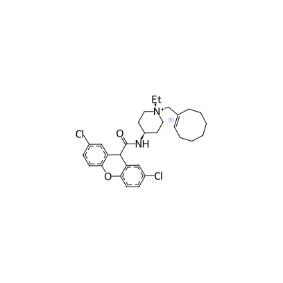 CC[N@+]1(C/C2=C/CCCCCC2)CC[C@H](NC(=O)C2c3cc(Cl)ccc3Oc3ccc(Cl)cc32)CC1